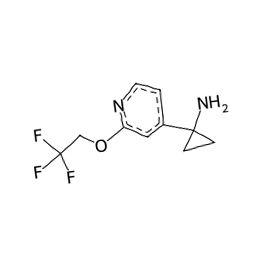 NC1(c2ccnc(OCC(F)(F)F)c2)CC1